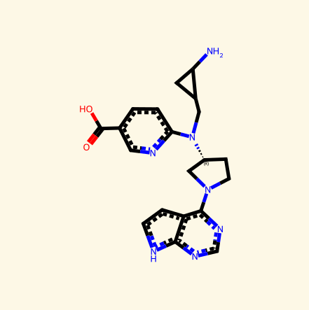 NC1CC1CN(c1ccc(C(=O)O)cn1)[C@@H]1CCN(c2ncnc3[nH]ccc23)C1